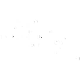 CC(C)C[C@H](NC(=O)CNC(=O)c1cc(Cl)ccc1Cl)B1OC(=O)C[C@](CC(=O)O)(C(=O)N(C)C)O1